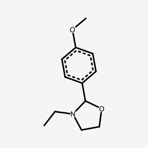 CCN1CCOC1c1ccc(OC)cc1